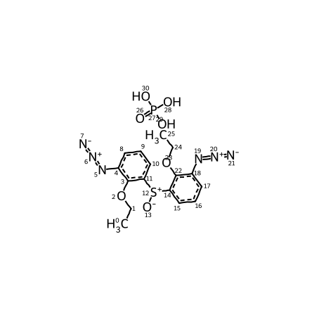 CCOc1c(N=[N+]=[N-])cccc1[S+]([O-])c1cccc(N=[N+]=[N-])c1OCC.O=P(O)(O)O